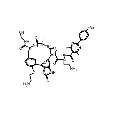 Cc1nc(-c2ccc(C(C)(C)C)cc2)nc(C)c1C(=O)N[C@@H](CCN)C(=O)N(C)[C@@H]1C(=O)N[C@@H](C)C(=O)N[C@H](C(=O)NCC#N)Cc2ccc(OCCN)c(c2)-c2cc1cc1[nH]c(=O)oc21